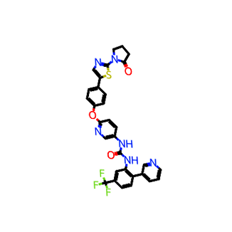 O=C(Nc1ccc(Oc2ccc(-c3cnc(N4CCCC4=O)s3)cc2)nc1)Nc1cc(C(F)(F)F)ccc1-c1cccnc1